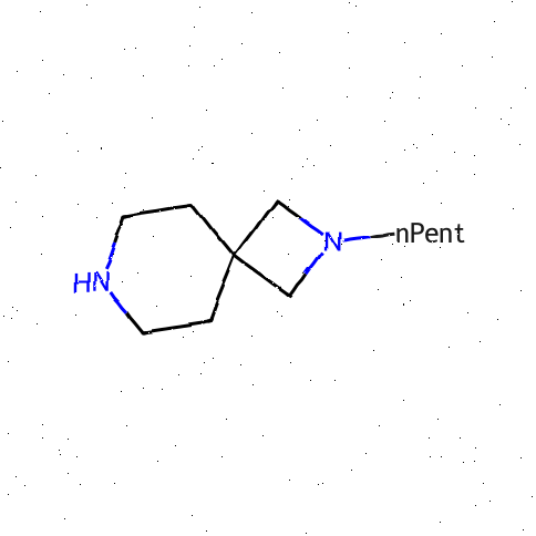 CCCCCN1CC2(CCNCC2)C1